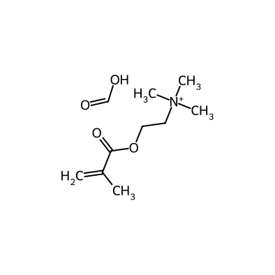 C=C(C)C(=O)OCC[N+](C)(C)C.O=CO